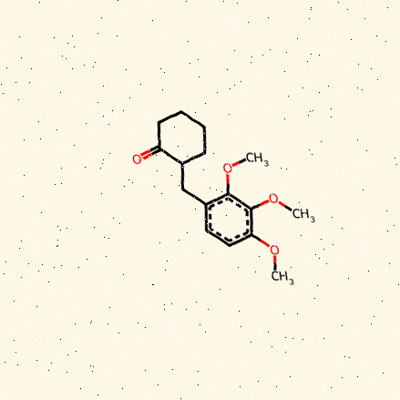 COc1ccc(CC2CCCCC2=O)c(OC)c1OC